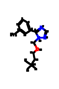 CC(C)c1cccc(-c2ncnn2COCC[Si](C)(C)C)c1